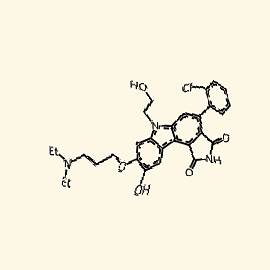 CCN(CC)CCCOc1cc2c(cc1O)c1c3c(c(-c4ccccc4Cl)cc1n2CCO)C(=O)NC3=O